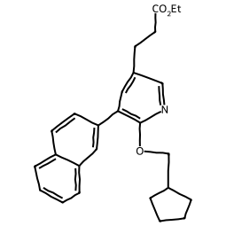 CCOC(=O)CCc1cnc(OCC2CCCC2)c(-c2ccc3ccccc3c2)c1